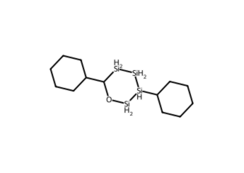 C1CCC(C2O[SiH2][SiH](C3CCCCC3)[SiH2][SiH2]2)CC1